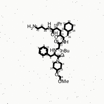 CCCC[C@H](NC(Cc1ccccc1)C(=O)N1CCC(OCOC)CC1)C(=O)N[C@@H](CC1CCCCC1)[C@@H](O)C[C@H](C(=O)NCCCN)C(C)C